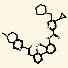 CN1CCc2cc(/C(F)=C/c3cccc(-c4cccc(NC(=O)c5cc(C6CC6)c(CN6CCCCC6)cn5)c4Cl)c3Cl)ncc2C1